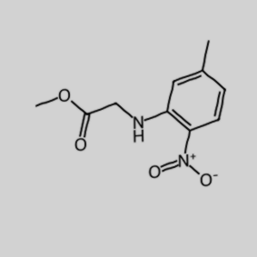 COC(=O)CNc1cc(C)ccc1[N+](=O)[O-]